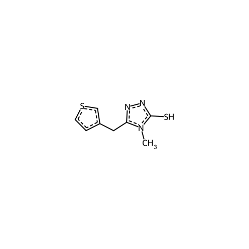 Cn1c(S)nnc1Cc1ccsc1